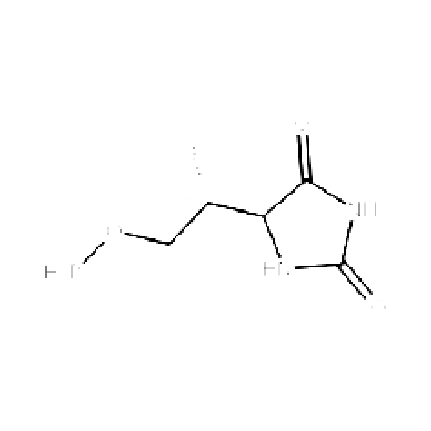 C[C@@H](COP)C1NC(=O)NC1=O